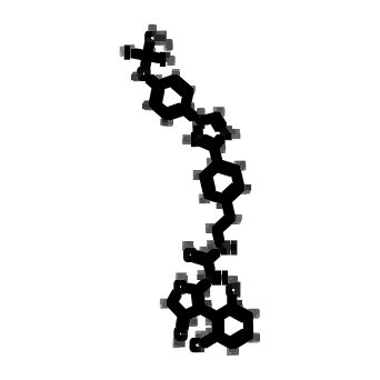 CC(F)(F)Oc1ccc(-n2cnc(-c3ccc(CCNC(=O)NC4=C(c5c(Cl)cccc5Cl)C(=O)CO4)cc3)n2)cc1